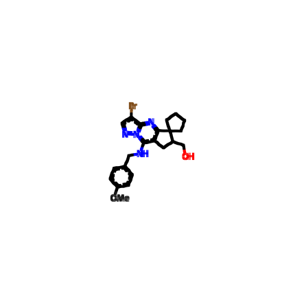 COc1ccc(CNc2c3c(nc4c(Br)cnn24)C2(CCCC2)C(CO)C3)cc1